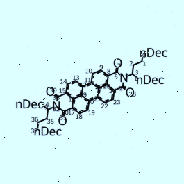 CCCCCCCCCCCCC(CCCCCCCCCC)N1C(=O)c2ccc3c4ccc5c6c(ccc(c7ccc(c2c37)C1=O)c64)C(=O)N(C(CCCCCCCCCC)CCCCCCCCCCCC)C5=O